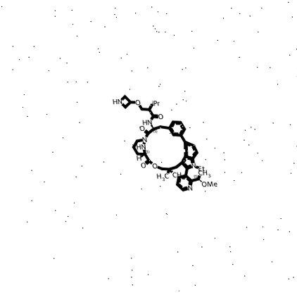 CCn1c(-c2cccnc2[C@H](C)OC)c2c3cc(ccc31)-c1cccc(c1)C[C@H](NC(=O)C(COC1CNC1)C(C)C)C(=O)N1CCC[C@H](N1)C(=O)OCC(C)(C)C2